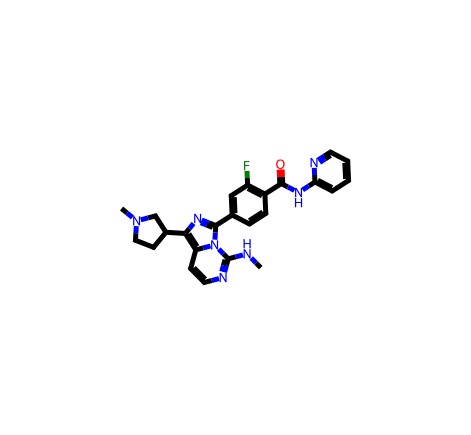 CNc1nccc2c(C3CCN(C)C3)nc(-c3ccc(C(=O)Nc4ccccn4)c(F)c3)n12